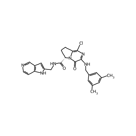 Cc1cc(C)cc(CNc2nc(Cl)c3n(c2=O)[C@H](C(=O)NCc2cc4cnccc4[nH]2)CC3)c1